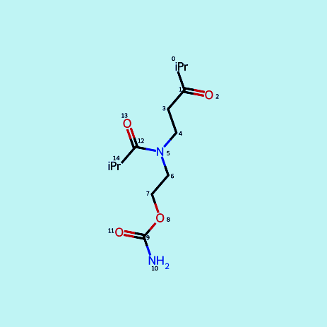 CC(C)C(=O)CCN(CCOC(N)=O)C(=O)C(C)C